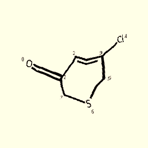 O=C1C=C(Cl)CSC1